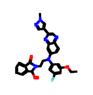 CCOc1cc(F)cc(N(CCN2C(=O)c3ccccc3C2O)c2ccc3ncc(-c4cnn(C)c4)nc3c2)c1